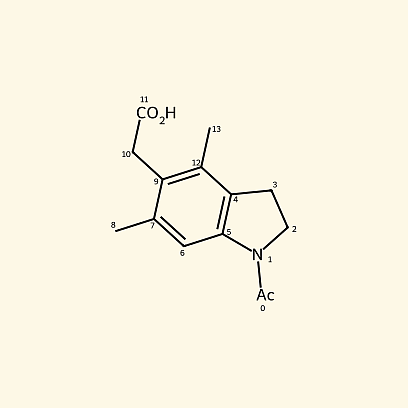 CC(=O)N1CCc2c1cc(C)c(CC(=O)O)c2C